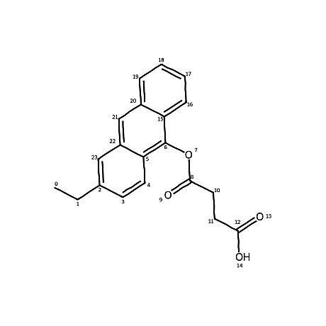 CCc1ccc2c(OC(=O)CCC(=O)O)c3ccccc3cc2c1